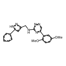 COc1ccc(OC)c(-c2cnnc(NCc3cc(-c4ccccc4)[nH]n3)n2)c1